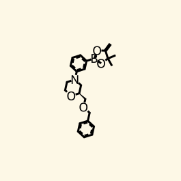 C=C1OB(c2cccc(N3CCO[C@H](COCc4ccccc4)C3)c2)OC1(C)C